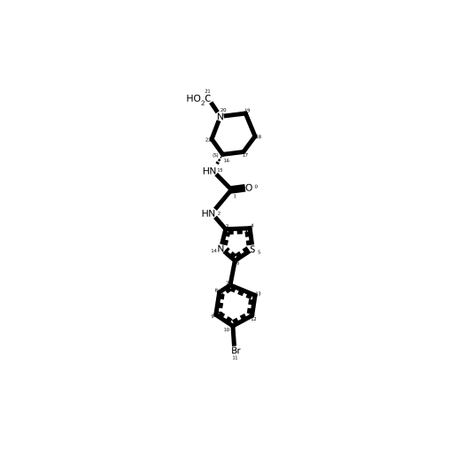 O=C(Nc1csc(-c2ccc(Br)cc2)n1)N[C@H]1CCCN(C(=O)O)C1